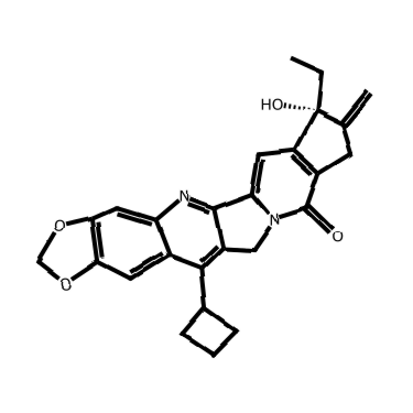 C=C1Cc2c(cc3n(c2=O)Cc2c-3nc3cc4c(cc3c2C2CCC2)OCO4)[C@@]1(O)CC